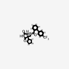 O=C1NC(=O)C(CNC(=O)c2ccccc2-c2ccc(C(F)(F)F)cc2)(C2CCCC2)N1